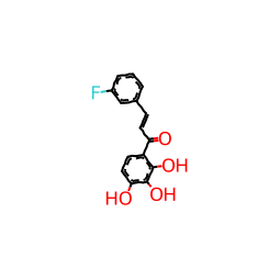 O=C(C=Cc1cccc(F)c1)c1ccc(O)c(O)c1O